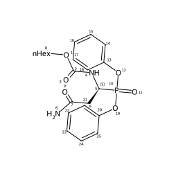 CCCCCCOC(=O)N[C@H](CC(N)=O)P(=O)(Oc1ccccc1)Oc1ccccc1